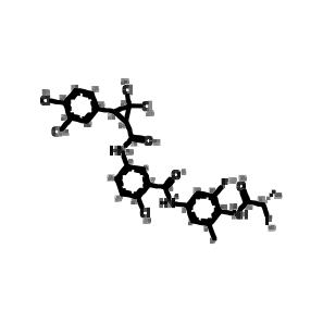 Cc1cc(NC(=O)c2cc(NC(=O)C3C(c4ccc(Cl)c(Cl)c4)C3(Cl)Cl)ccc2Cl)cc(F)c1NC(=O)[C@H](C)F